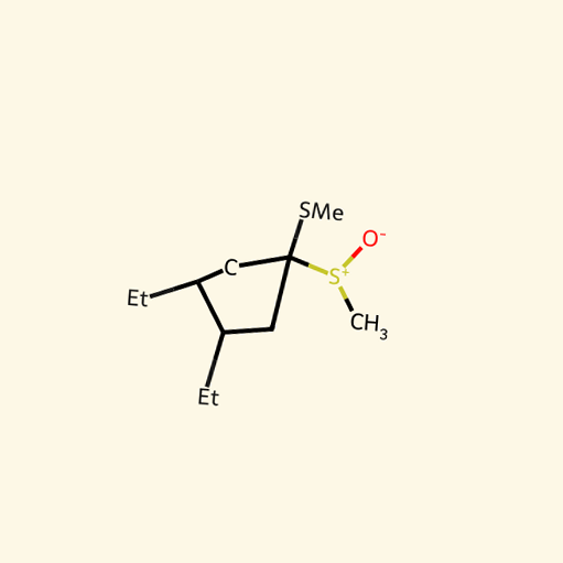 CCC1CC(SC)([S+](C)[O-])CC1CC